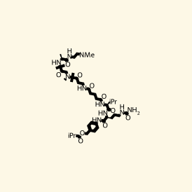 CNCCNC(=O)[C@H](C)NC(C)(C)C(=O)CN(C)C(C)(C)C(=O)CCNC(=O)CCCC(=O)N[C@H](C(=O)N[C@@H](CCCNC(N)=O)C(=O)Nc1ccc(COC(=O)C(C)C)cc1)C(C)C